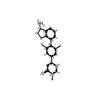 Cc1cc(-c2cc(=O)n(C)cn2)cc(C)c1-c1cccc2c1CC[C@H]2N